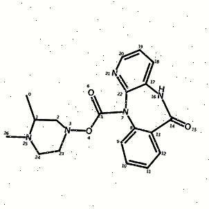 CC1CN(OC(=O)N2c3ccccc3C(=O)Nc3cccnc32)CCN1C